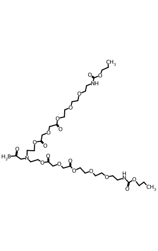 BC(=O)CN(CCOC(=O)COCC(=O)OCCOCCOCCNC(=O)OCCC)CCOC(=O)COCC(=O)OCCOCCOCCNC(=O)OCCC